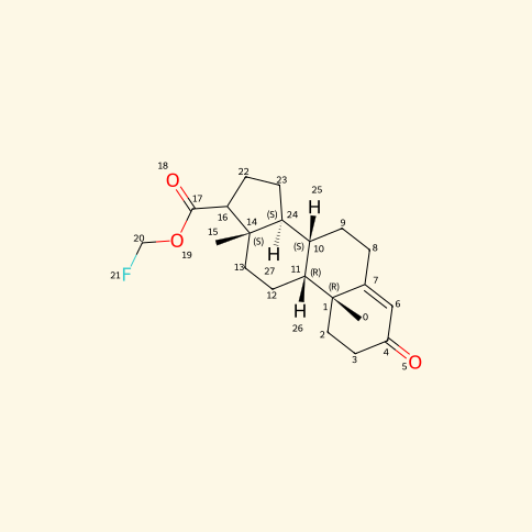 C[C@]12CCC(=O)C=C1CC[C@@H]1[C@H]2CC[C@]2(C)C(C(=O)OCF)CC[C@@H]12